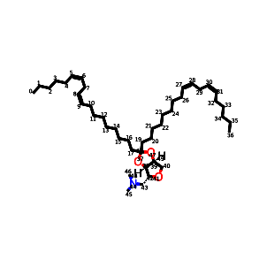 CCCCC/C=C\C/C=C\CCCCCCCCC1(CCCCCCCC/C=C\C/C=C\CCCCC)O[C@H]2[C@H](CO[C@@H]2CN(C)C)O1